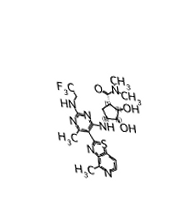 Cc1nc(NCC(F)(F)F)nc(N[C@@H]2C[C@H](C(=O)N(C)C)[C@@H](O)[C@H]2O)c1-c1nc2c(C)nccc2s1